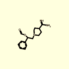 N=C(N)C1CCN(CC(O[C]=O)c2ccccc2)CC1